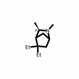 CCC1(CC)CC2CC1[C@@H](C)N2C